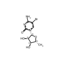 C[C@H]1O[C@@H](n2cc(Br)c(N)nc2=O)[C@H](O)[C@@H]1O